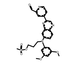 COc1cc(OC)cc(N(CCCOS(C)(=O)=O)c2ccc3ncc(-c4ccnc(C=O)c4)nc3c2)c1